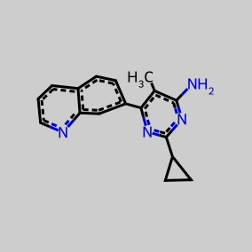 Cc1c(N)nc(C2CC2)nc1-c1ccc2cccnc2c1